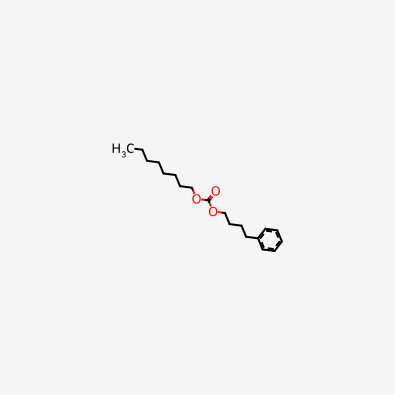 CCCCCCCCOC(=O)OCCCCc1ccccc1